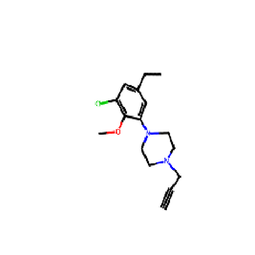 C#CCN1CCN(c2cc(CC)cc(Cl)c2OC)CC1